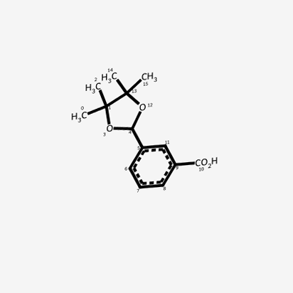 CC1(C)OC(c2cccc(C(=O)O)c2)OC1(C)C